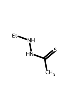 CCNNC(C)=S